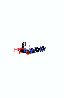 CCCOC1(C(=O)O)CCN(CC(=O)N2CCN(c3ccc(-c4ncccn4)cc3)CC2)C1